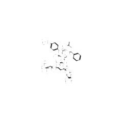 CC(C)OCN(C(=O)N(COCc1ccccc1)c1nc(OCC(F)(F)F)cc(OCC(F)(F)F)n1)c1ccc(Br)cc1